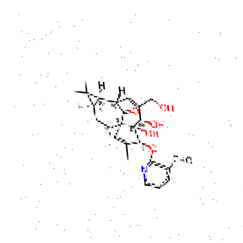 CC1=C[C@]23C(=O)[C@@H](C=C(CO)[C@@H](O)[C@]2(O)[C@H]1Oc1ncccc1C=O)[C@H]1[C@@H](C[C@H]3C)C1(C)C